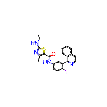 CCNc1nc(C)c(C(=O)Nc2ccc(I)c(-c3nccc4ccccc34)c2)s1